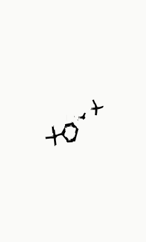 CC(C)(C)OC(=O)Nc1c[c]cc(C(C)(C)C)c1